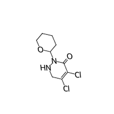 O=C1C(Cl)=C(Cl)CNN1C1CCCCO1